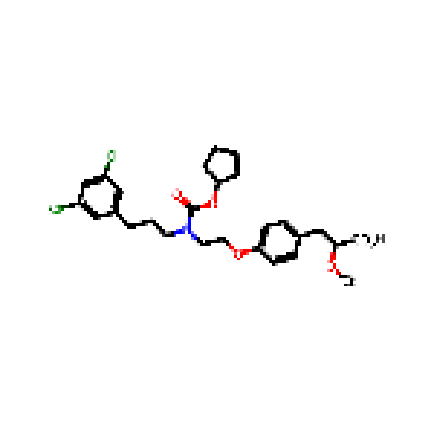 CCOC(Cc1ccc(OCCN(CCCc2cc(Cl)cc(Cl)c2)C(=O)OC2CCCC2)cc1)C(=O)O